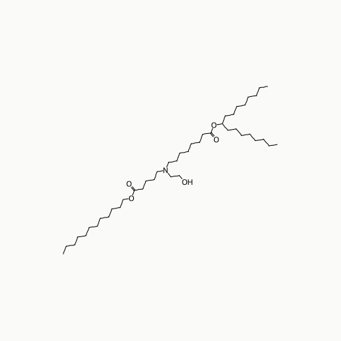 CCCCCCCCCCCCOC(=O)CCCCN(CCO)CCCCCCCC(=O)OC(CCCCCCCC)CCCCCCCC